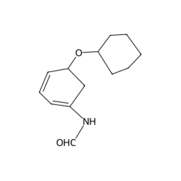 O=CNC1=CC=CC(OC2CCCCC2)C1